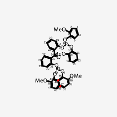 COc1ccccc1OP(Oc1ccccc1OC)Oc1ccccc1C(=O)c1ccccc1OP(Oc1ccccc1OC)Oc1ccccc1OC